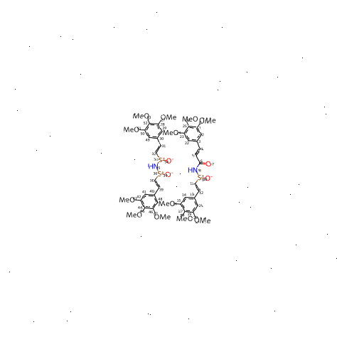 COc1cc(C=CC(=O)N[S+]([O-])C=Cc2cc(OC)c(OC)c(OC)c2)cc(OC)c1OC.COc1cc(C=C[S+]([O-])N[S+]([O-])C=Cc2cc(OC)c(OC)c(OC)c2)cc(OC)c1OC